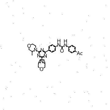 CC(=O)c1ccc(NC(=O)Nc2ccc(-c3nc(N4CCOCC4C)nc(N4C5CCC4COC5)n3)cc2)cc1